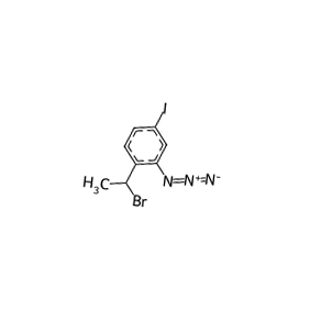 CC(Br)c1ccc(I)cc1N=[N+]=[N-]